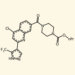 CCCOC(=O)N1CCN(C(=O)c2ccc3c(Cl)cc(-c4cn[nH]c4C(F)(F)F)nc3c2)CC1